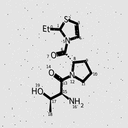 CCC1SC=CN1C(=O)[C@@H]1CCCN1C(=O)[C@@H](N)[C@@H](C)O